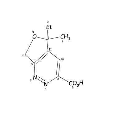 CCC1(C)OCc2nnc(C(=O)O)cc21